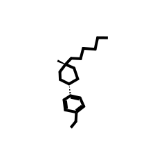 CCCCCC[C@]1(C)CC[C@H](c2ccc(CC)cc2)CC1